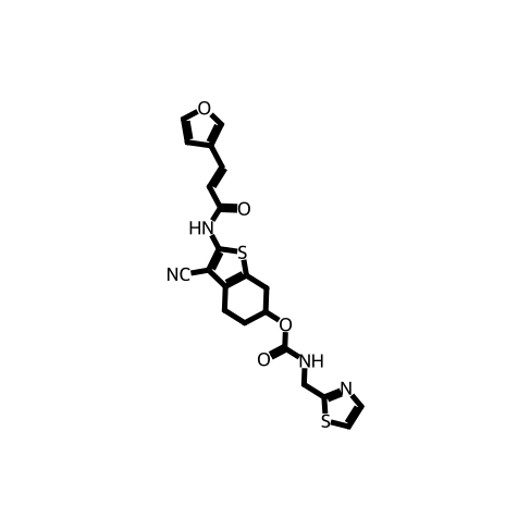 N#Cc1c(NC(=O)C=Cc2ccoc2)sc2c1CCC(OC(=O)NCc1nccs1)C2